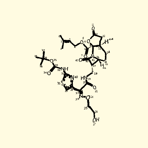 CC(C)=CCOC(=O)[C@]12OC(=O)C[C@H]1CS[C@@H]1[C@H](CNC(=O)/C(=N\OCCO)c3csc(NC(=O)OC(C)(C)C)n3)C(=O)N12